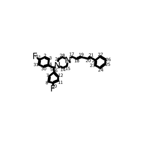 Fc1ccc(C(c2ccc(F)cc2)N2CCN(C/C=C/C=C/c3ccccc3)CC2)cc1